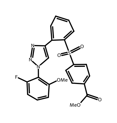 COC(=O)c1ccc(S(=O)(=O)c2ccccc2-c2cn(-c3c(F)cccc3OC)nn2)cc1